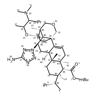 CCCCOC(=O)[C@@H]1[C@@](C)([C@H](C)C(C)C)CC[C@]2(C)[C@H]3CC[C@@H]4[C@@]5(COC[C@]4(C)[C@@H](OC(C)C(C(C)C)N(C)C)[C@H](n4nnc(N)n4)C5)C3=CC[C@@]12C